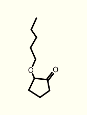 CCCCCOC1CCCC1=O